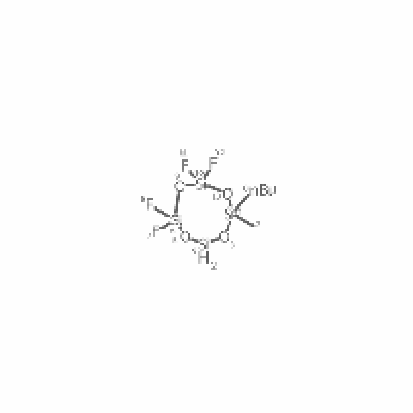 CCCC[Si]1(C)O[SiH2]O[Si](F)(F)O[Si](F)(F)O1